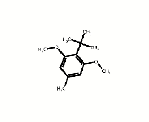 COc1cc(C)cc(OC)c1C(C)(C)C